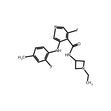 CCN1CC(NC(=O)c2c(F)cncc2Nc2ccc(C)cc2F)C1